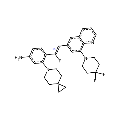 Nc1ccc(/C(F)=C/c2cc(N3CCC(F)(F)CC3)c3ncccc3c2)c(N2CCC3(CC2)CC3)c1